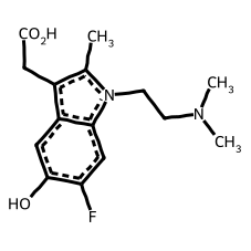 Cc1c(CC(=O)O)c2cc(O)c(F)cc2n1CCN(C)C